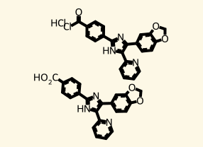 Cl.O=C(Cl)c1ccc(-c2nc(-c3ccc4c(c3)OCO4)c(-c3ccccn3)[nH]2)cc1.O=C(O)c1ccc(-c2nc(-c3ccc4c(c3)OCO4)c(-c3ccccn3)[nH]2)cc1